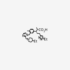 CCC1CCN(Cc2nccn2Cc2cc([C@H](CCc3cn(CC)nn3)[C@H](C)C(=O)O)ccc2C)CC1